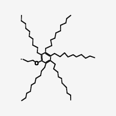 [CH2]CCOc1c(CCCCCCCCCC)c(CCCCCCCCCC)c(CCCCCCCCCC)c(CCCCCCCCCC)c1CCCCCCCCCC